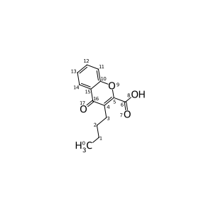 CCCCc1c(C(=O)O)oc2ccccc2c1=O